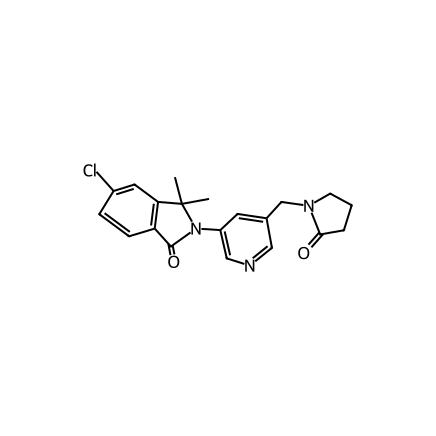 CC1(C)c2cc(Cl)ccc2C(=O)N1c1cncc(CN2CCCC2=O)c1